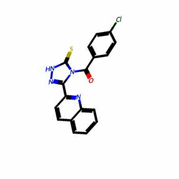 O=C(c1ccc(Cl)cc1)n1c(-c2ccc3ccccc3n2)n[nH]c1=S